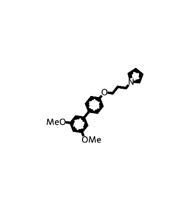 COc1cc(OC)cc(-c2ccc(OCCCn3cccc3)cc2)c1